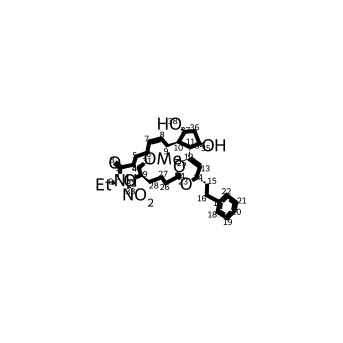 CCNC(=O)CCC/C=C\C[C@@H]1[C@@H](/C=C/[C@H](CCc2ccccc2)OC(=O)CCC[C@H](COC)O[N+](=O)[O-])[C@H](O)C[C@@H]1O